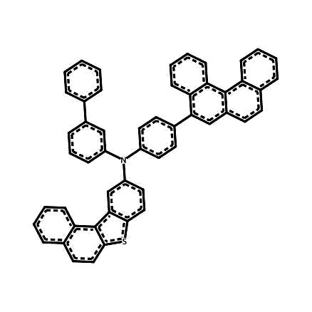 c1ccc(-c2cccc(N(c3ccc(-c4cc5ccc6ccccc6c5c5ccccc45)cc3)c3ccc4sc5ccc6ccccc6c5c4c3)c2)cc1